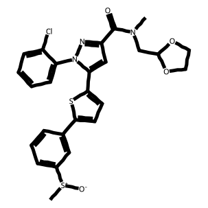 CN(CC1OCCO1)C(=O)c1cc(-c2ccc(-c3cccc([S+](C)[O-])c3)s2)n(-c2ccccc2Cl)n1